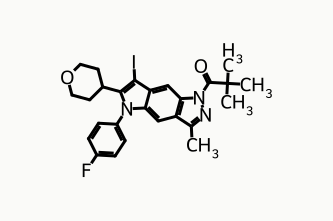 Cc1nn(C(=O)C(C)(C)C)c2cc3c(I)c(C4CCOCC4)n(-c4ccc(F)cc4)c3cc12